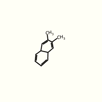 CC1=CC2C=CC=CC2C=C1C